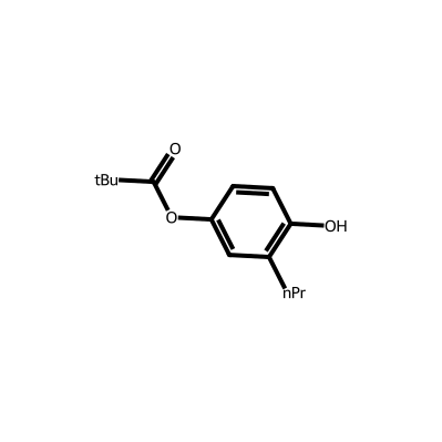 CCCc1cc(OC(=O)C(C)(C)C)ccc1O